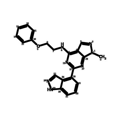 Cn1ncc2c(NCCOc3ccccc3)nc(-c3cccc4[nH]ncc34)nc21